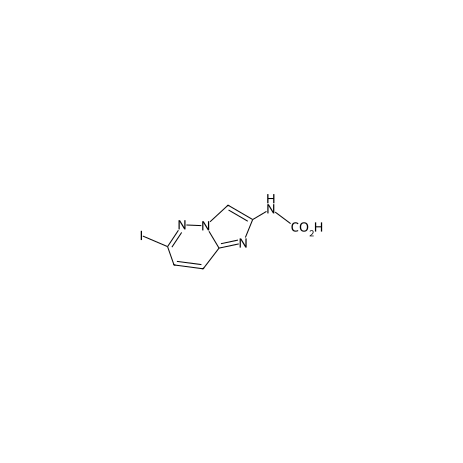 O=C(O)Nc1cn2nc(I)ccc2n1